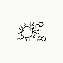 CC(=O)CC1NC(=O)C(CC(C)C)NC(=O)C2CNC(=O)CC(NC1=O)C(=O)NC(Cc1c[nH]c3ccccc13)C(=O)NC(Cc1ccccc1)C(=O)N2